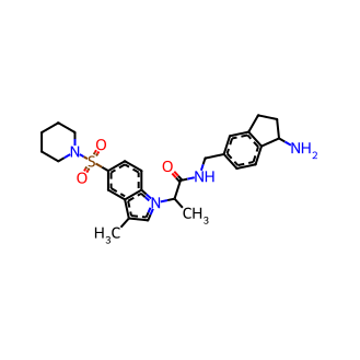 Cc1cn(C(C)C(=O)NCc2ccc3c(c2)CCC3N)c2ccc(S(=O)(=O)N3CCCCC3)cc12